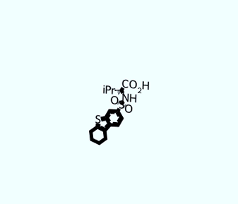 CC(C)[C@@H](NS(=O)(=O)c1ccc2c3c(sc2c1)CCCC3)C(=O)O